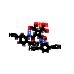 C#Cc1ccc(C#C)c(NC(=O)C2C(C(=O)O)C(C(=O)O)C2C(=O)Nc2cc(C#C)ccc2C#C)c1